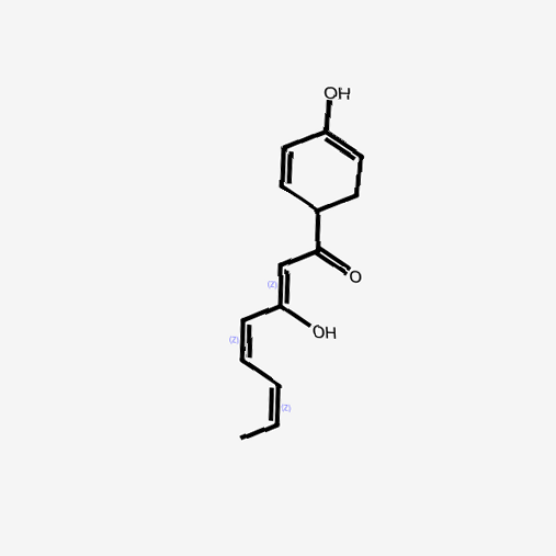 C\C=C/C=C\C(O)=C\C(=O)C1C=CC(O)=CC1